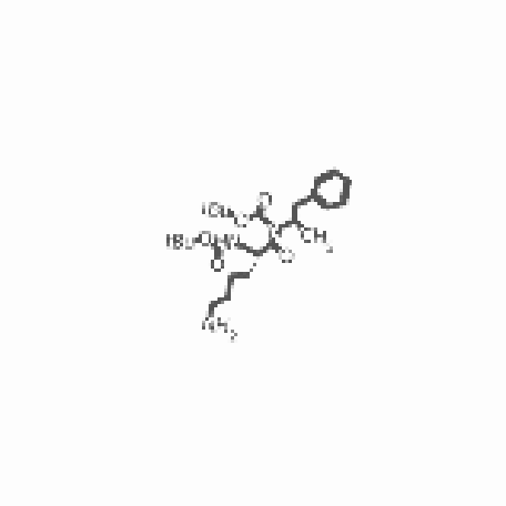 CC(Cc1ccccc1)N(C(=O)OC(C)(C)C)C(=O)[C@H](CCCCN)NC(=O)OC(C)(C)C